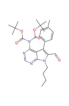 CCCCn1c(C=O)c(-c2ccc(C)cc2)c2c(N(C(=O)OC(C)(C)C)C(=O)OC(C)(C)C)ncnc21